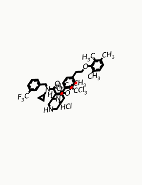 Cc1ccc(C)c(OCCc2ccc(C3=C(C(=O)N(Cc4cccc(C(F)(F)F)c4)C4CC4)[C@H]4CNCC(C3)N4C(=O)OC(C)(C)C(Cl)(Cl)Cl)cc2)c1C.Cl